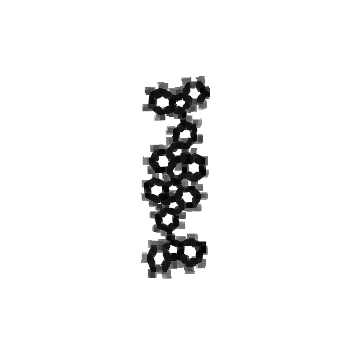 c1ccc([Si](c2ccccc2)(c2cccc3c2oc2ccc(-n4c5ccccc5c5ccncc54)cc23)c2cccc3c2oc2ccc(-n4c5ccccc5c5ccncc54)cc23)cc1